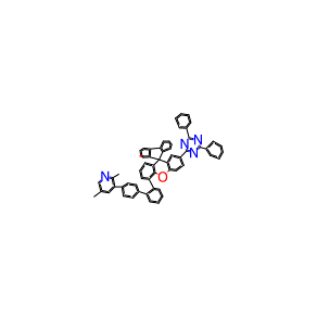 Cc1cnc(C)c(-c2ccc(-c3ccccc3-c3cccc4c3Oc3ccc(-c5nc(-c6ccccc6)nc(-c6ccccc6)n5)cc3C43c4ccccc4-c4ccccc43)cc2)c1